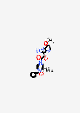 COc1ccnc2c(C(=O)C(=O)N3CCN(C(=O)c4ccccc4)[C@H](C)C3)c[nH]c12